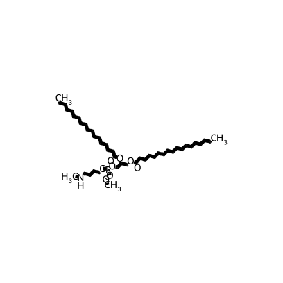 CCCCCCCCCCCCCCCCCC(=O)OCC(COP(OCCCCNC)OOC)OC(=O)CCCCCCCCCCCCCCCCC